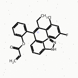 C=CC(=O)Oc1ccccc1/C(=C(\CC)c1ccc(F)cc1Cl)c1cccc2[nH]nnc12